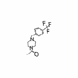 [CH2]C(=O)N1CCN(Cc2ccc(C(F)(F)F)cc2)CC1